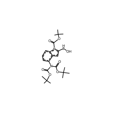 CC(C)(C)OC(=O)N(C(=O)OC(C)(C)C)c1cccc2c1cc(BO)n2C(=O)OC(C)(C)C